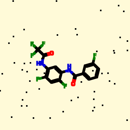 O=C(Nc1cc(NC(=O)C(F)(F)F)c(F)cc1F)c1cccc(F)c1